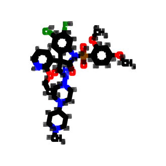 CCOc1ncccc1C1(C(=O)NN2CCN(C3CCN(C)CC3)CC2)C(=O)N(S(=O)(=O)c2ccc(OC)cc2OC)c2cc(F)c(Cl)cc21